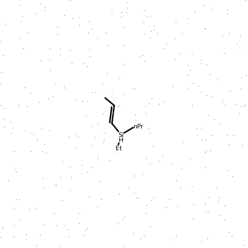 CC=C[SiH](CC)CCC